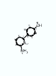 Nc1cccc(-c2ccc(O)cc2)n1